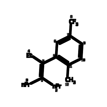 CCCC(CCC)=C(CC)c1cc(C(F)(F)F)ccc1C